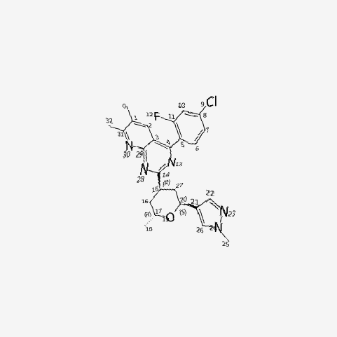 Cc1cc2c(-c3ccc(Cl)cc3F)nc([C@@H]3C[C@@H](C)O[C@H](c4cnn(C)c4)C3)nc2nc1C